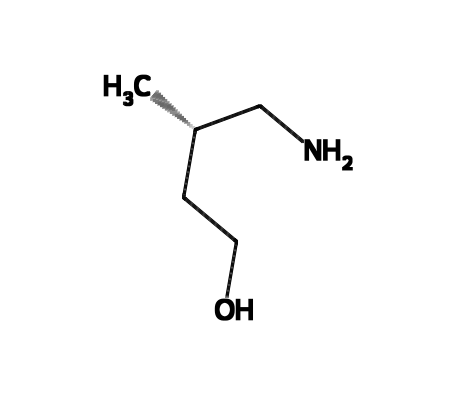 C[C@H](CN)CCO